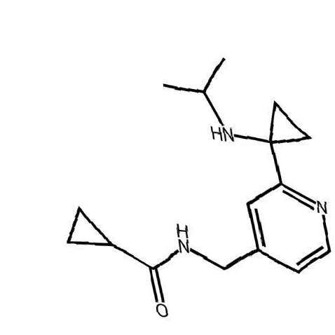 CC(C)NC1(c2cc(CNC(=O)C3CC3)ccn2)CC1